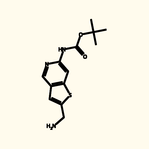 CC(C)(C)OC(=O)Nc1cc2sc(CN)cc2cn1